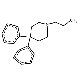 [CH2]CCN1CCC(c2ccccc2)(c2ccccc2)CC1